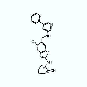 O[C@H]1CCCC[C@@H]1Nc1nc2cc(Cl)c(CNc3cncc(-c4ccccc4)n3)cc2s1